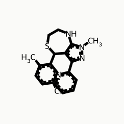 Cc1ccc(Cl)cc1C1SCCNc2c1c(-c1ccccn1)nn2C